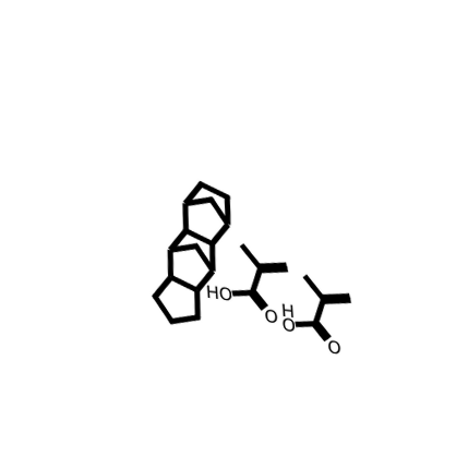 C1CC2C(C1)C1CC2C2C3CCC(C3)C12.C=C(C)C(=O)O.C=C(C)C(=O)O